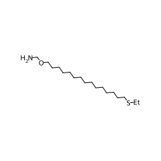 CCSCCCCCCCCCCCCCCCOCN